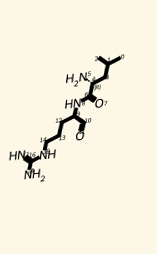 CC(C)C[C@@H](N)C(=O)NC(C=O)CCCNC(=N)N